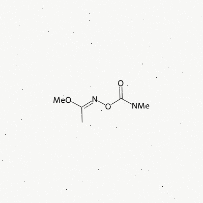 CNC(=O)ON=C(C)OC